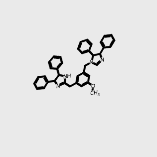 COc1cc(CC2=NC(c3ccccc3)C(c3ccccc3)N2)cc(CN2C=NC(c3ccccc3)C2c2ccccc2)c1